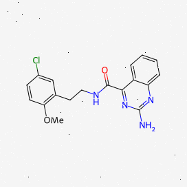 COc1ccc(Cl)cc1CCNC(=O)c1nc(N)nc2ccccc12